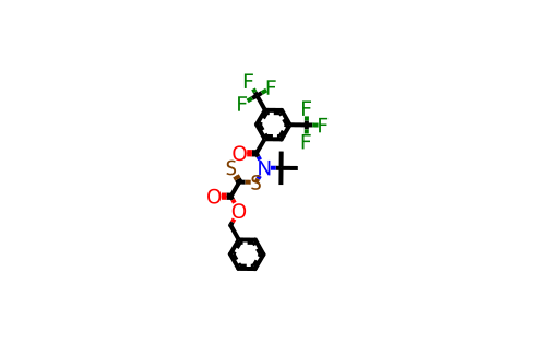 CC(C)(C)N(SC(=S)C(=O)OCc1ccccc1)C(=O)c1cc(C(F)(F)F)cc(C(F)(F)F)c1